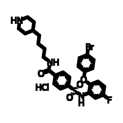 Cl.O=C(NCCCCC1CCNCC1)c1ccc(S(=O)(=O)Nc2cc(F)ccc2Oc2ccc(Br)cc2)cc1